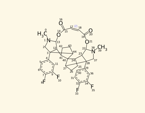 CN1CC2(c3ccc(F)c(F)c3)C3C1OC(=O)/C=C\C(=O)OC1C4C5CCC(C4(c4ccc(F)c(F)c4)CN1C)C51C3CCC21